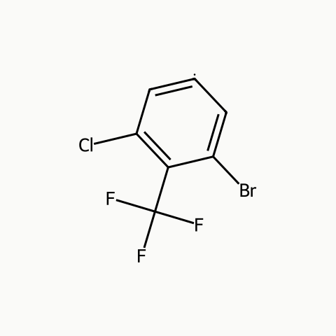 FC(F)(F)c1c(Cl)c[c]cc1Br